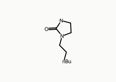 CCCCCCN1CC[N]C1=O